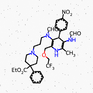 CCOC(=O)C1(c2ccccc2)CCN(CCCN(C=O)C2=C(COCC(F)(F)F)NC(C)=C(NC=O)C2c2ccc([N+](=O)[O-])cc2)CC1